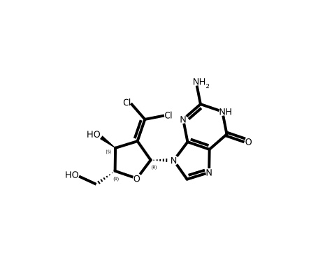 Nc1nc2c(ncn2[C@@H]2O[C@H](CO)[C@@H](O)C2=C(Cl)Cl)c(=O)[nH]1